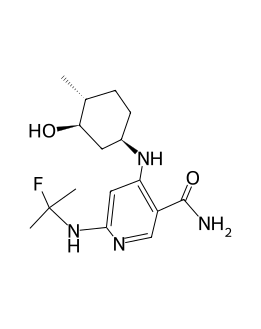 C[C@@H]1CC[C@@H](Nc2cc(NC(C)(C)F)ncc2C(N)=O)C[C@H]1O